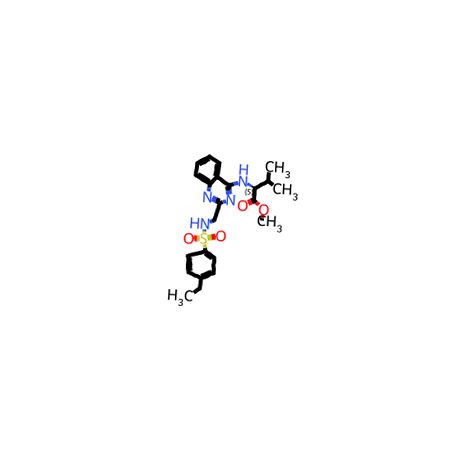 CCc1ccc(S(=O)(=O)NCc2nc(N[C@H](C(=O)OC)C(C)C)c3ccccc3n2)cc1